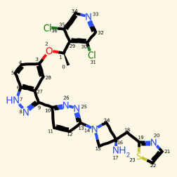 C[C@@H](Oc1ccc2[nH]nc(-c3ccc(N4CC(N)(Cc5nccs5)C4)nn3)c2c1)c1c(Cl)cncc1Cl